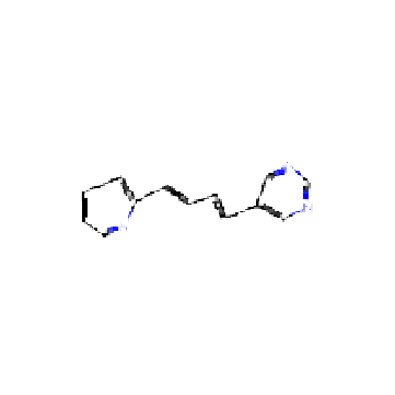 C(C=Cc1ccccn1)=Cc1cncnc1